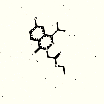 CCOC(=O)Cn1nc(C(C)C)c2cc(O)ccc2c1=O